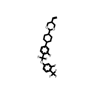 C=CC1COC(C2CCC(c3ccc(C(F)(F)Oc4ccc(C(F)(F)F)c(F)c4)c(F)c3)CC2)OC1